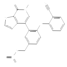 Cn1cc(-c2cc(CN[SH](=O)=O)ccc2Oc2ccccc2C#N)c2cc[nH]c2c1=O